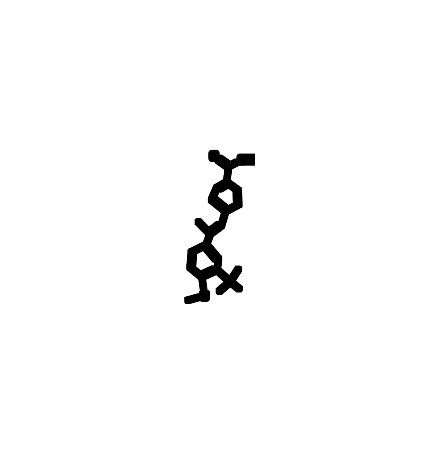 COc1ccc(/C(C)=C/c2ccc(C(=O)O)cc2)cc1C(C)(C)C